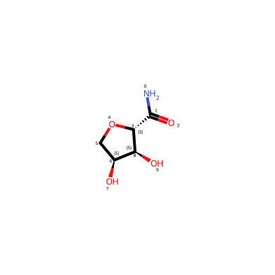 NC(=O)[C@H]1OC[C@H](O)[C@@H]1O